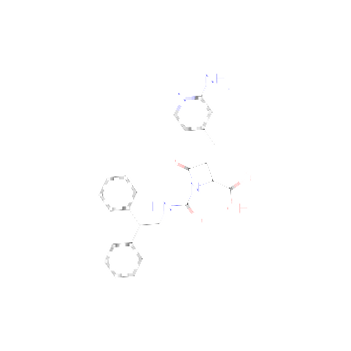 Nc1cc(C[C@H]2C(=O)N(C(=O)NCC(c3ccccc3)c3ccccc3)C2C(=O)O)ccn1